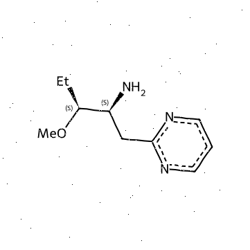 CC[C@H](OC)[C@@H](N)Cc1ncccn1